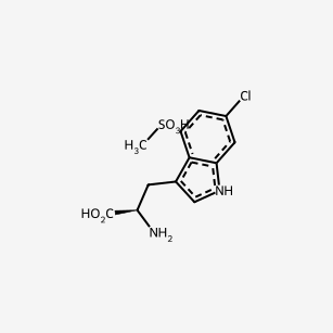 CS(=O)(=O)O.N[C@H](Cc1c[nH]c2cc(Cl)ccc12)C(=O)O